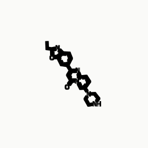 CCc1nc2ccc(-c3cc(=O)n4cc(N5CCNCC5)ccc4n3)cc2o1